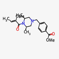 C/C=C(\OC)C(=O)N1C(C)CN(Cc2ccc(C(=O)OC)cc2)C[C@H]1C